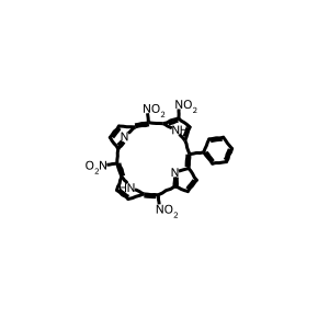 O=[N+]([O-])c1c2nc(c(-c3ccccc3)c3cc([N+](=O)[O-])c([nH]3)c([N+](=O)[O-])c3nc(c([N+](=O)[O-])c4ccc1[nH]4)C=C3)C=C2